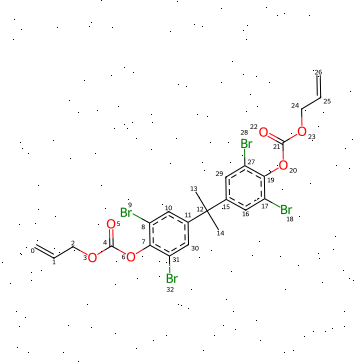 C=CCOC(=O)Oc1c(Br)cc(C(C)(C)c2cc(Br)c(OC(=O)OCC=C)c(Br)c2)cc1Br